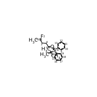 C[C@H](F)CCCO[Si](c1ccccc1)(c1ccccc1)C(C)(C)C